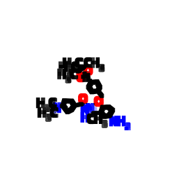 C/C(=N\NC(=O)c1ccc(N(C)C)cc1)c1cc(N)ccc1OCc1ccc(B2OC(C)(C)C(C)(C)O2)cc1